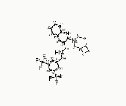 CCN(CC1CCC1)c1nc2ccccc2cc1CNCc1cc(C(F)(F)F)cc(C(F)(F)F)c1